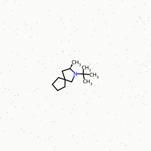 C[C@@H]1CC2(CCCC2)CN1C(C)(C)C